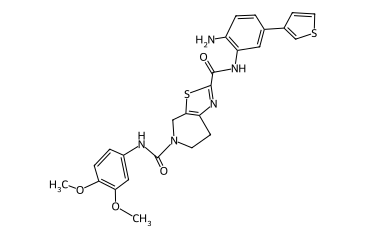 COc1ccc(NC(=O)N2CCc3nc(C(=O)Nc4cc(-c5ccsc5)ccc4N)sc3C2)cc1OC